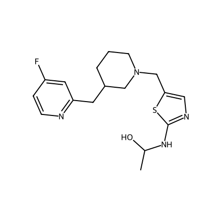 CC(O)Nc1ncc(CN2CCCC(Cc3cc(F)ccn3)C2)s1